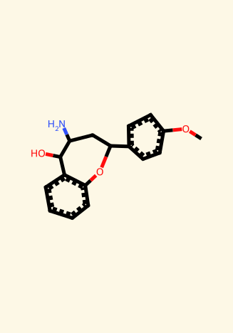 COc1ccc(C2CC(N)C(O)c3ccccc3O2)cc1